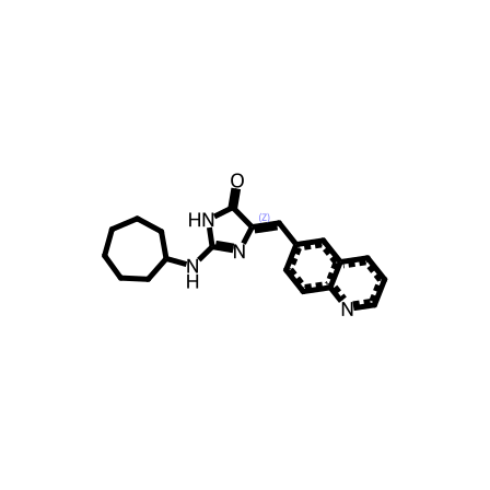 O=C1NC(NC2CCCCCC2)=N/C1=C\c1ccc2ncccc2c1